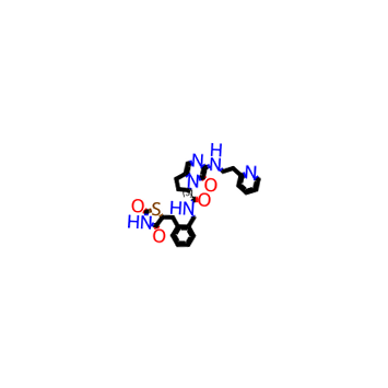 O=C1NC(=O)C(Cc2ccccc2CNC(=O)[C@@H]2CCc3cnc(NCCc4ccccn4)c(=O)n32)S1